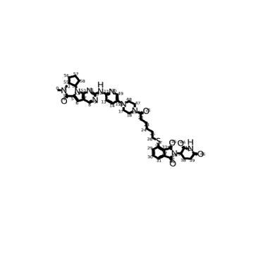 CN(C)C(=O)c1cc2cnc(Nc3ccc(N4CCN(C(=O)CCCCCSc5cccc6c5C(=O)N(C5CCC(=O)NC5=O)C6=O)CC4)cn3)nc2n1C1CCCC1